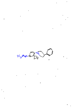 N#Cc1cc(N)ccc1N1CCC(c2ccccc2)CC1